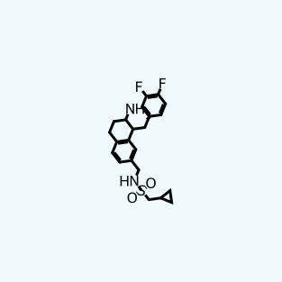 NC1CCc2ccc(CNS(=O)(=O)CC3CC3)cc2C1Cc1ccc(F)c(F)c1